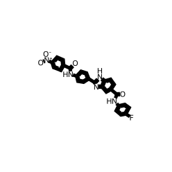 O=C(Nc1ccc(-c2nc3cc(C(=O)Nc4ccc(F)cc4)ccc3[nH]2)cc1)c1ccc([N+](=O)[O-])cc1